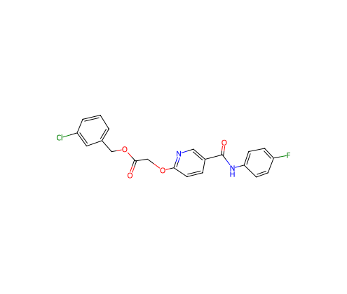 O=C(COc1ccc(C(=O)Nc2ccc(F)cc2)cn1)OCc1cccc(Cl)c1